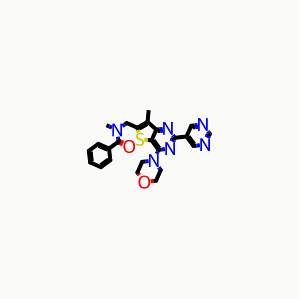 Cc1c(CN(C)C(=O)c2ccccc2)sc2c(N3CCOCC3)nc(-c3cncnc3)nc12